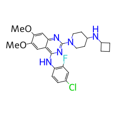 COc1cc2nc(N3CCC(NC4CCC4)CC3)nc(Nc3ccc(Cl)cc3F)c2cc1OC